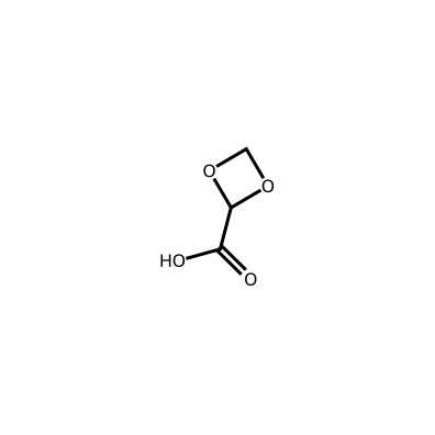 O=C(O)C1OCO1